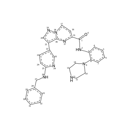 O=C(Nc1ccccc1N1CCNCC1)c1ccn2ncc(-c3ccc(NCc4ccccc4)nc3)c2n1